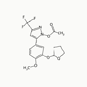 COc1ccc(-c2cc(C(F)(F)F)nn2OC(C)=O)cc1OC1CCCO1